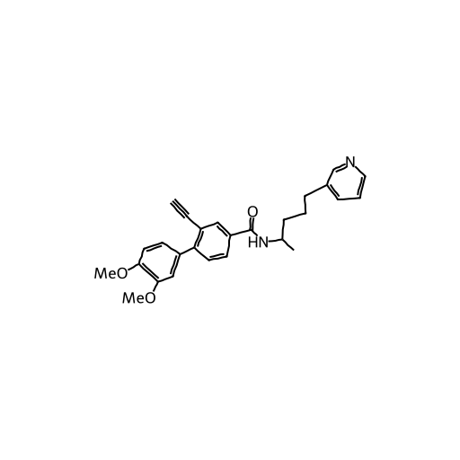 C#Cc1cc(C(=O)NC(C)CCCc2cccnc2)ccc1-c1ccc(OC)c(OC)c1